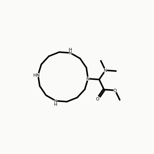 COC(=O)C(N(C)C)N1CCCNCCNCCCNCC1